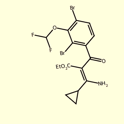 CCOC(=O)C(C(=O)c1ccc(Br)c(OC(F)F)c1Br)=C(N)C1CC1